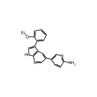 CCOc1ccccc1-c1c[nH]c2ncc(-c3ccc(N)nc3)cc12